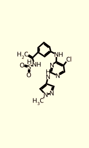 C=C(N[SH](=O)=O)c1cccc(Nc2nc(Nc3cnn(C)c3)ncc2Cl)c1